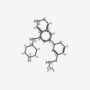 CNCC1=CC(c2cc(NC3CCNCC3)c3c(c2)=CCNC=3)CC=C1